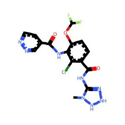 CN1NNN=C1NC(=O)c1ccc(OC(F)F)c(NC(=O)c2ccnnc2)c1Cl